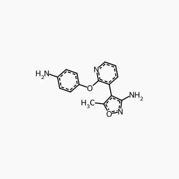 Cc1onc(N)c1-c1cccnc1Oc1ccc(N)cc1